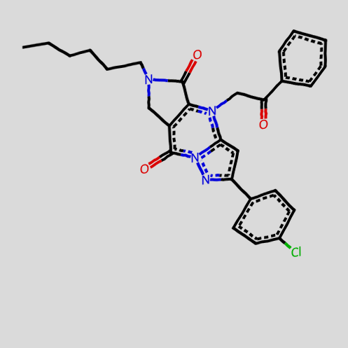 CCCCCCN1Cc2c(n(CC(=O)c3ccccc3)c3cc(-c4ccc(Cl)cc4)nn3c2=O)C1=O